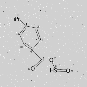 CC(C)c1ccc(C(=O)O[SH]=O)cc1